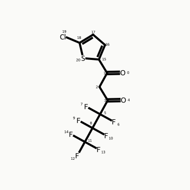 O=C(CC(=O)C(F)(F)C(F)(F)C(F)(F)F)c1ccc(Cl)s1